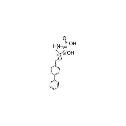 O=C(O)[C@H]1NC[C@H](OCc2ccc(-c3ccccc3)cc2)[C@H]1O